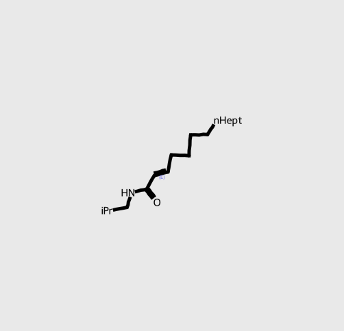 CCCCCCCCCCC/C=C/C(=O)NCC(C)C